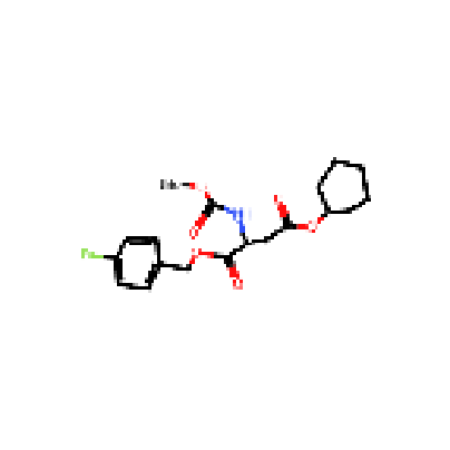 CC(C)(C)OC(=O)N[C@@H](CC(=O)OC1CCCCC1)C(=O)OCc1ccc(F)cc1